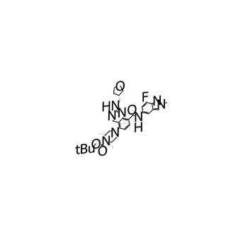 C[C@@H]1CN(c2ccc(C(=O)Nc3cc(F)c4nn(C)cc4c3)c3nc(NC[C@@H]4CCOC4)ncc23)C[C@H](C)N1C(=O)OC(C)(C)C